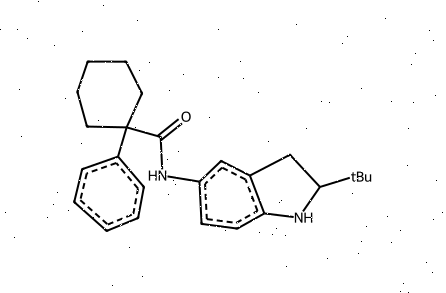 CC(C)(C)C1Cc2cc(NC(=O)C3(c4ccccc4)CCCCC3)ccc2N1